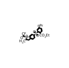 CCCc1ccc(C(=O)OCC)c(S(=O)(=O)c2ccc(C[C@@H](C)NC(=O)C(F)(F)F)cc2)c1